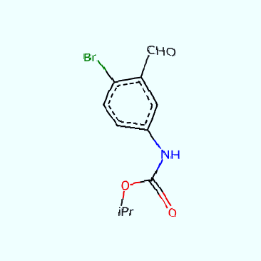 CC(C)OC(=O)Nc1ccc(Br)c(C=O)c1